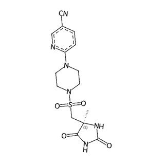 C[C@]1(CS(=O)(=O)N2CCN(c3ccc(C#N)cn3)CC2)NC(=O)NC1=O